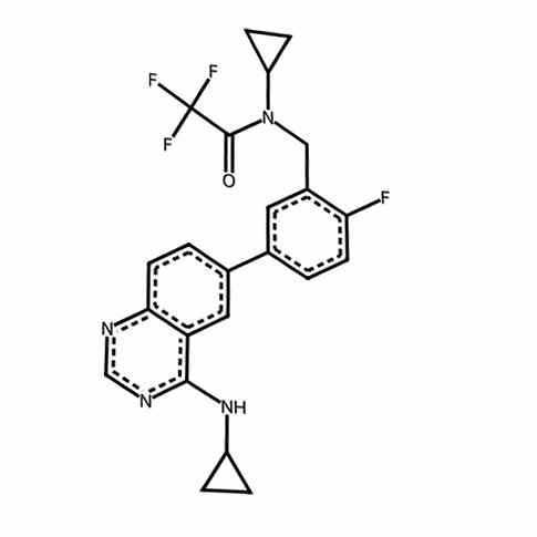 O=C(N(Cc1cc(-c2ccc3ncnc(NC4CC4)c3c2)ccc1F)C1CC1)C(F)(F)F